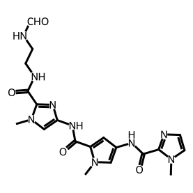 Cn1cc(NC(=O)c2nccn2C)cc1C(=O)Nc1cn(C)c(C(=O)NCCNC=O)n1